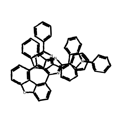 c1ccc(-c2nc(-c3cccc4oc5cccc(-c6nc(-c7ccccc7)nc7c6sc6ccccc67)c5c34)nc(-c3cccc4c3c3ccccc3n4-c3ccccc3)n2)cc1